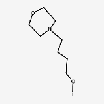 IOCCCCN1CCOCC1